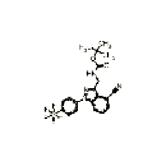 CC(C)(C)OC(=O)NCc1nn(-c2ccc(S(F)(F)(F)(F)F)cc2)c2cccc(C#N)c12